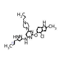 C=CCN1CCN(c2cc(Nc3cc(/C=C/C)[nH]n3)nc(Oc3ccc4[nH]c(C)cc4c3Cl)n2)CC1